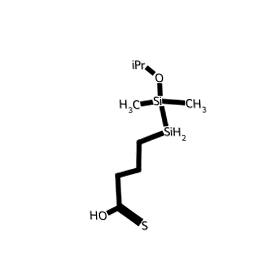 CC(C)O[Si](C)(C)[SiH2]CCCC(O)=S